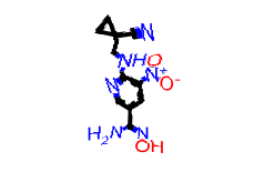 N#CC1(CNc2ncc(C(N)=NO)cc2[N+](=O)[O-])CC1